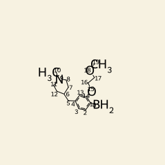 Bc1ccc(CC2CCN(C)CC2)cc1OCCOC